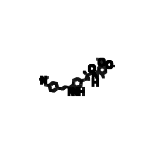 COc1cc(C)c(NC(=O)[C@]2(C)C[C@H]2c2ccc3c(/C=C/c4ccc(CN(C)C)cc4)n[nH]c3c2)cc1OC